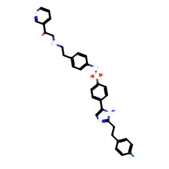 Cn1c(-c2ccc(S(=O)(=O)Nc3ccc(CCNCC(O)c4cccnc4)cc3)cc2)cnc1CCc1ccc(F)cc1